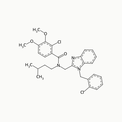 COc1ccc(C(=O)N(CCC(C)C)Cc2nc3ccccc3n2Cc2ccccc2Cl)c(Cl)c1OC